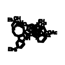 CCSc1ccc2[nH]c3c(c2c1)CCN1C[C@H](C[C@@](O)(CC)C1)C[C@]3(C(=O)OC)C1C=C2C(=CC1OC)N(C)[C@@]13O[C@]1(C(=O)OC)[C@H](OC(C)=O)[C@]1(CC)C=CCN4CC[C@]23[C@@H]41